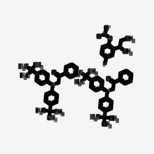 CC(C)(C)c1ccc([S+](CC(=O)c2ccccc2)c2ccc(C(C)(C)C)cc2)cc1.CC(C)(C)c1ccc([S+](CC(=O)c2ccccc2)c2ccc(C(C)(C)C)cc2)cc1.CCC(C)c1cc(F)ccc1OB([O-])[O-]